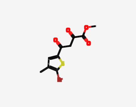 COC(=O)C(=O)CC(=O)c1cc(C)c(Br)s1